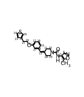 Cc1oncc1NC(=O)N1CCC(=Cc2cccc(OCCc3ccsc3)c2)CC1